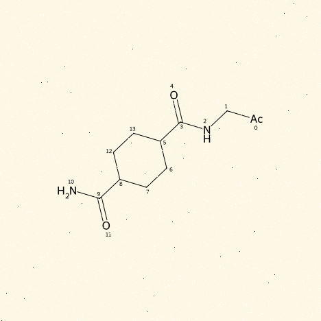 CC(=O)CNC(=O)C1CCC(C(N)=O)CC1